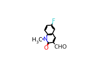 Cn1c(=O)c(C=O)cc2cc(F)ccc21